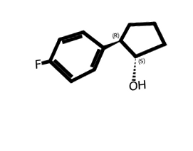 O[C@H]1CCC[C@@H]1c1ccc(F)cc1